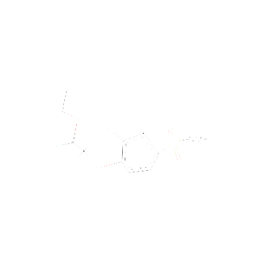 CNS(=O)(=O)c1ccc(OC(F)(F)C(F)OCC(F)(F)F)c(C(=O)O)c1